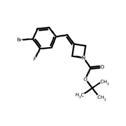 CC(C)(C)OC(=O)N1CC(=Cc2ccc(Br)c(F)c2)C1